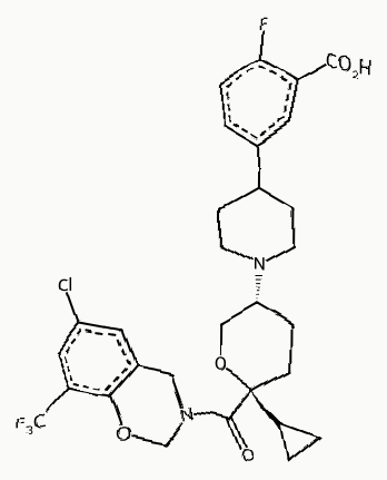 O=C(O)c1cc(C2CCN([C@@H]3CC[C@@](C(=O)N4COc5c(cc(Cl)cc5C(F)(F)F)C4)(C4CC4)OC3)CC2)ccc1F